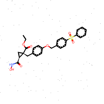 CCOC(=O)[C@@]1(Cc2ccc(OCc3ccc(S(=O)(=O)c4ccccc4)cc3)cc2)C[C@@H]1C(=O)NO